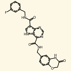 O=C1COc2ccc(CNC(=O)c3ncnc4c(C(=O)NCc5cccc(F)c5)c[nH]c34)cc2N1